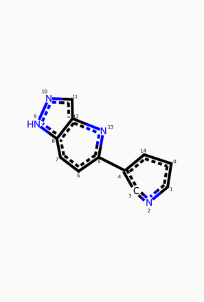 c1cncc(-c2ccc3[nH]ncc3n2)c1